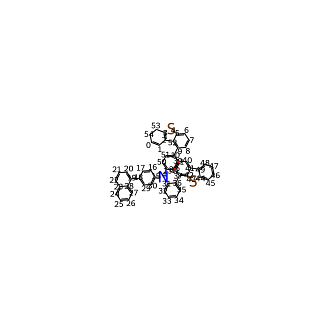 C1=Cc2c(sc3cccc(-c4ccc(N(c5ccc(-c6cccc7ccccc67)cc5)c5ccccc5-c5cccc6c5sc5ccccc56)cc4)c23)CC1